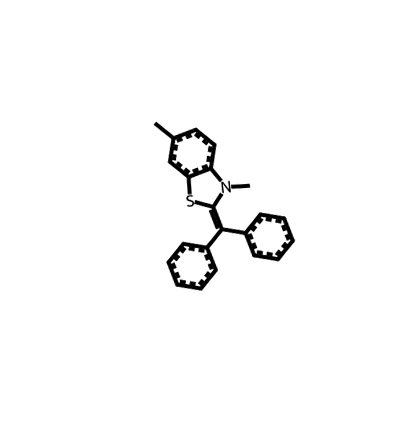 Cc1ccc2c(c1)SC(=C(c1ccccc1)c1ccccc1)N2C